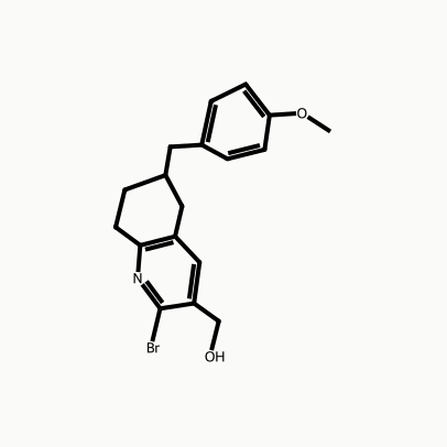 COc1ccc(CC2CCc3nc(Br)c(CO)cc3C2)cc1